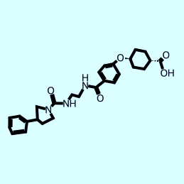 O=C(NCCNC(=O)N1CCC(c2ccccc2)C1)c1ccc(O[C@H]2CC[C@@H](C(=O)O)CC2)cc1